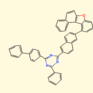 c1ccc(-c2ccc(-c3nc(-c4ccccc4)nc(-c4ccc5cc(-c6cccc7oc8ccc9ccccc9c8c67)ccc5c4)n3)cc2)cc1